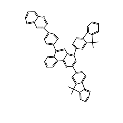 CC1(C)c2ccccc2-c2ccc(-c3cc(-c4ccc5c(c4)C(C)(C)c4ccccc4-5)c4cc(-c5ccc(-c6cnc7ccccc7c6)cc5)c5ccccc5c4n3)cc21